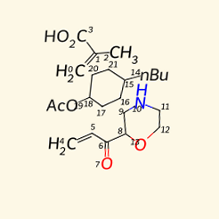 C=C(C)C(=O)O.C=CC(=O)C1CNCCO1.CCCCC1CCC(OC(C)=O)CC1